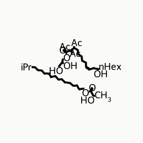 CC(C)CCCCCCCCCCCCCCCOC(=O)C(C)O.CCCCCC[C@@H](O)C/C=C\CCCCCC(C(C)=O)C(C(C)=O)(C(C)=O)C(=O)OCC(O)CO